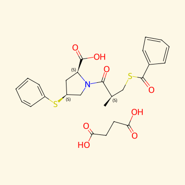 C[C@H](CSC(=O)c1ccccc1)C(=O)N1C[C@@H](Sc2ccccc2)C[C@H]1C(=O)O.O=C(O)CCC(=O)O